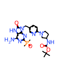 CC(C)(C)OC(=O)NC1CCN(c2ccc(Cn3c(=O)[nH]c4c(N)nc(P(C)(C)=O)nc43)cn2)C1